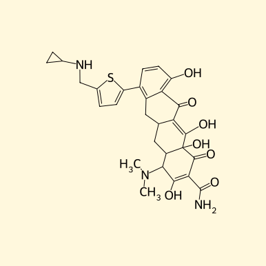 CN(C)C1C(O)=C(C(N)=O)C(=O)C2(O)C(O)=C3C(=O)c4c(O)ccc(-c5ccc(CNC6CC6)s5)c4CC3CC12